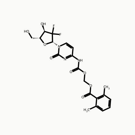 Cc1cccc(C)c1C(=O)OCOC(=O)Nc1ccn([C@@H]2O[C@H](CO)[C@@H](O)C2(F)F)c(=O)n1